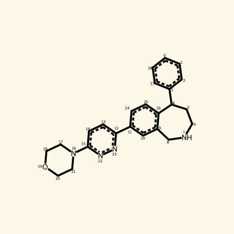 c1ccc(C2CCNCc3cc(-c4ccc(N5CCOCC5)nn4)ccc32)cc1